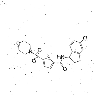 O=C(N[C@@H]1CCc2cc(Cl)ccc21)c1ccc(S(=O)(=O)N2CCOCC2)s1